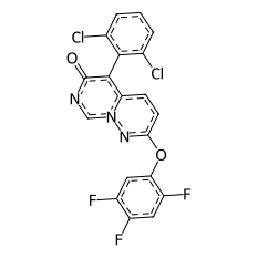 O=c1ncn2nc(Oc3cc(F)c(F)cc3F)ccc2c1-c1c(Cl)cccc1Cl